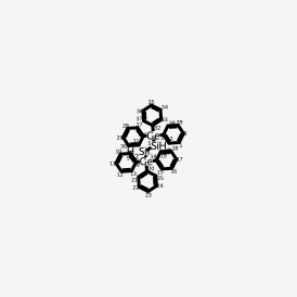 c1cc[c]([Ge]([SiH2][SiH2][Ge]([c]2ccccc2)([c]2ccccc2)[c]2ccccc2)([c]2ccccc2)[c]2ccccc2)cc1